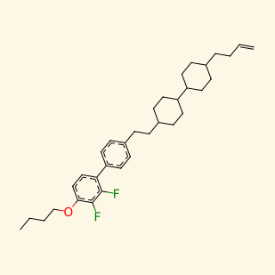 C=CCCC1CCC(C2CCC(CCc3ccc(-c4ccc(OCCCC)c(F)c4F)cc3)CC2)CC1